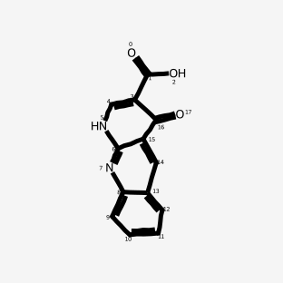 O=C(O)c1c[nH]c2nc3ccccc3cc2c1=O